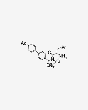 CC(=O)c1ccc(-c2ccc([C@H](N(C(=O)[C@@H](N)CC(C)C)C3(C#N)CC3)C(F)(F)F)cc2)cc1